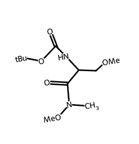 COCC(NC(=O)OC(C)(C)C)C(=O)N(C)OC